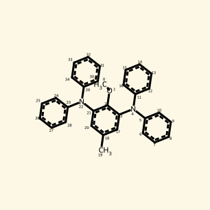 COc1c(N(c2ccccc2)c2ccccc2)cc(C)cc1N(c1ccccc1)c1ccccc1